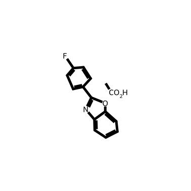 CC(=O)O.Fc1ccc(-c2nc3ccccc3o2)cc1